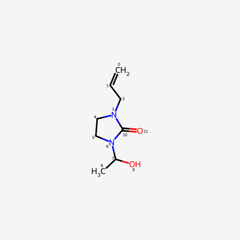 C=CCN1CCN(C(C)O)C1=O